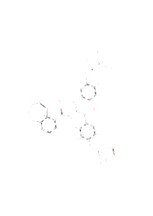 CC(=O)OC(C)Oc1ccc(C(O)C(Cc2cccc(OC(F)(F)C(F)F)c2)NC(=O)c2cccc3c2C=CCCC3)cc1